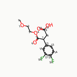 COCCOC(=O)C(CC(=O)O)c1ccc(F)c(F)c1